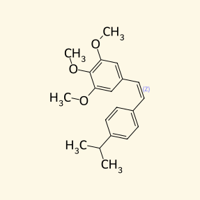 COc1cc(/C=C\c2ccc(C(C)C)cc2)cc(OC)c1OC